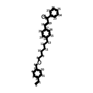 C=Cc1ccc(COCCCCCCc2ccc(C=CC(=O)c3ccccc3)cc2)cc1